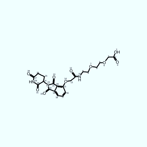 O=C(O)COCCOCCNC(=O)COc1cccc2c1C(=O)N(C1CCC(=O)NC1=O)C2=O